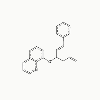 C=CCC(/C=C/c1ccccc1)Oc1cccc2cccnc12